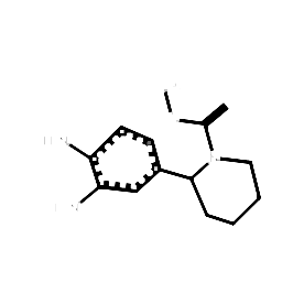 CC(C)(C)OC(=O)N1CCCCC1c1ccc(N)c(N)c1